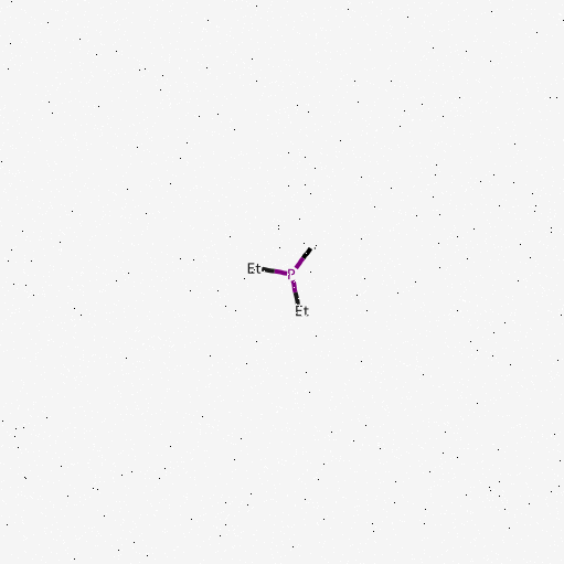 [CH2]P(CC)CC